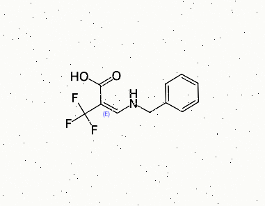 O=C(O)/C(=C\NCc1ccccc1)C(F)(F)F